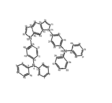 c1ccc(N(c2ccccc2)c2ccc(-n3ccc4cc5ccn(-c6ccc(N(c7ccccc7)c7ccccc7)cc6)c5cc43)cc2)cc1